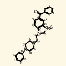 O=C(c1ccccc1)c1ccc2c(c1)[Se](=O)CN2CCN1CCN(c2ccccc2)CC1